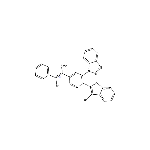 CS/C(=C(/Br)c1ccccc1)c1ccc(-c2sc3ccccc3c2Br)c(-n2nnc3ccccc32)c1